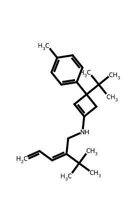 C=C/C=C(\CNC1=CC(c2ccc(C)cc2)(C(C)(C)C)C1)C(C)(C)C